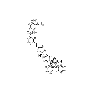 Cc1cc(NC(=O)c2cccc(CCC(=O)CC(=S)Nc3ccc(S(=O)(=O)N(C)C(c4ccccc4)c4ccccc4)cc3)c2)ccc1C(C)C